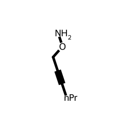 CCCC#CCON